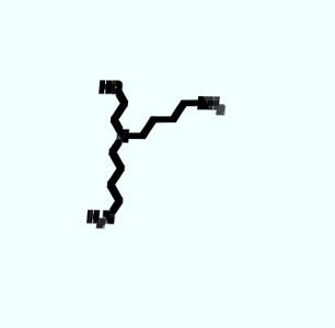 NCCCCN(CCO)CCCCN